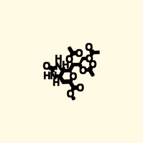 COC(=O)C1=C[C@@H]2NC(=O)N[C@H]2[C@H]([C@H](OC(C)=O)[C@@H](COC(C)=O)OC(C)=O)O1